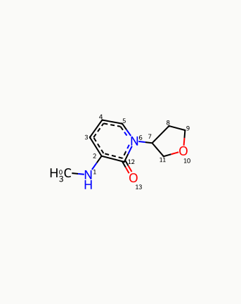 CNc1cccn(C2CCOC2)c1=O